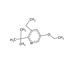 CCOc1cnc(C(C)(C)C)c(CC)c1